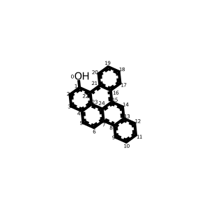 Oc1ccc2ccc3c4ccccc4cc4c5ccccc5c1c2c34